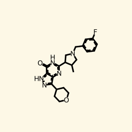 CC1CN(Cc2cccc(F)c2)CC1c1nc2c(C3CCOCC3)n[nH]c2c(=O)[nH]1